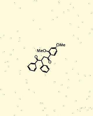 COc1ccc(C(=O)CC(C(=O)c2ccccc2)c2ccccc2)c(OC)c1